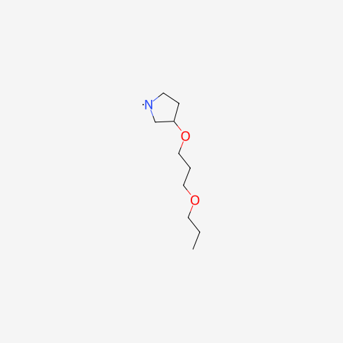 CCCOCCCOC1CC[N]C1